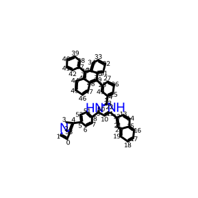 C1=CN2CC(c3ccc(C4C=C(c5ccc6ccccc6c5)NC(c5cccc(-c6c7ccccc7c(-c7ccccc7)c7ccccc67)c5)N4)cc3)=C12